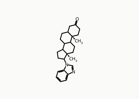 C[C@]12CCC(=O)CC1CCC1C2CC[C@@]2(C)C1CCC2n1cnc2ccccc21